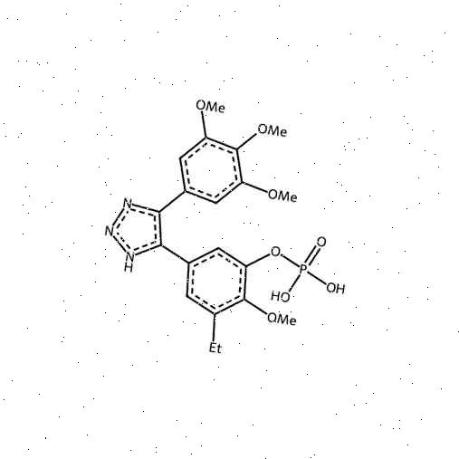 CCc1cc(-c2[nH]nnc2-c2cc(OC)c(OC)c(OC)c2)cc(OP(=O)(O)O)c1OC